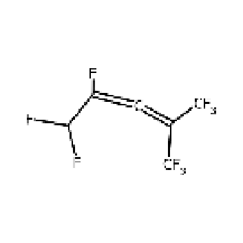 FC(=C=C(C(F)(F)F)C(F)(F)F)C(F)F